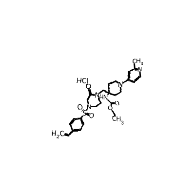 C=Cc1ccc(S(=O)(=O)N2CCN(CC3(NC(=O)OCC)CCN(c4ccnc(C)c4)CC3)C(=O)C2)cc1.Cl